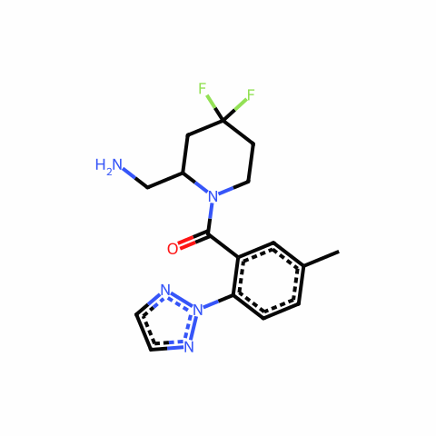 Cc1ccc(-n2nccn2)c(C(=O)N2CCC(F)(F)CC2CN)c1